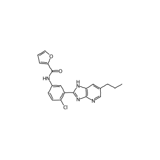 CCCc1cnc2nc(-c3cc(NC(=O)c4ccco4)ccc3Cl)[nH]c2c1